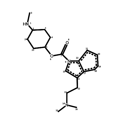 CNC1CCC(OC(=O)n2cc(CCN(C)C)c3ccccc32)CC1